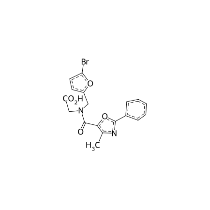 Cc1nc(-c2ccccc2)oc1C(=O)N(CC(=O)O)Cc1ccc(Br)o1